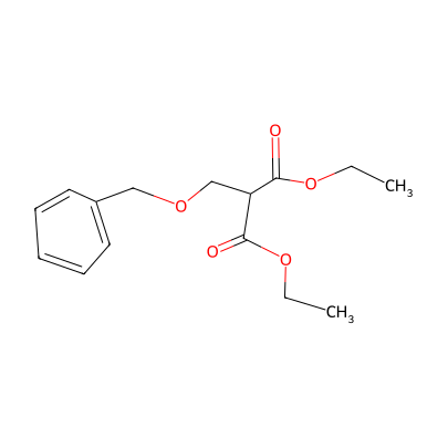 CCOC(=O)C(COCc1ccccc1)C(=O)OCC